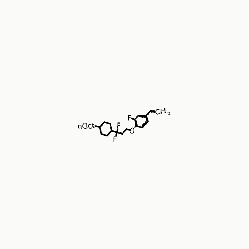 C=Cc1ccc(OCCC(F)(F)C2CCC(CCCCCCCC)CC2)c(F)c1